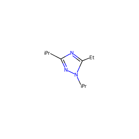 CCc1nc(C(C)C)nn1C(C)C